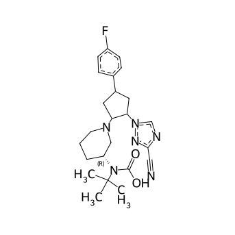 CC(C)(C)N(C(=O)O)[C@@H]1CCCN(C2CC(c3ccc(F)cc3)CC2n2cnc(C#N)n2)C1